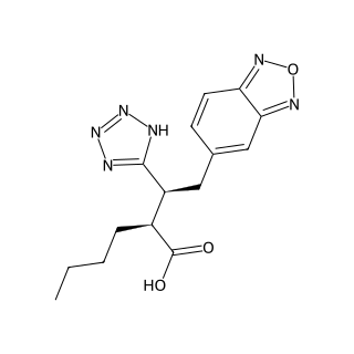 CCCC[C@H](C(=O)O)[C@H](Cc1ccc2nonc2c1)c1nnn[nH]1